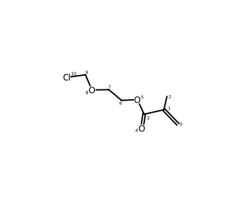 C=C(C)C(=O)OCCOCCl